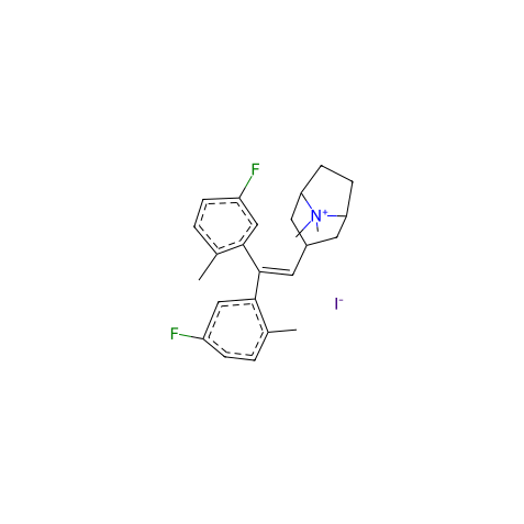 Cc1ccc(F)cc1C(=CC1CC2CCC(C1)[N+]2(C)C)c1cc(F)ccc1C.[I-]